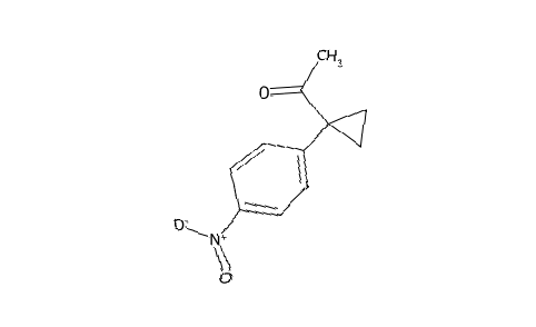 CC(=O)C1(c2ccc([N+](=O)[O-])cc2)CC1